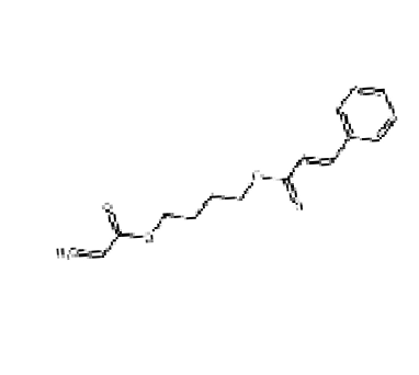 C=CC(=O)OCCCCOC(=O)C=Cc1ccccc1